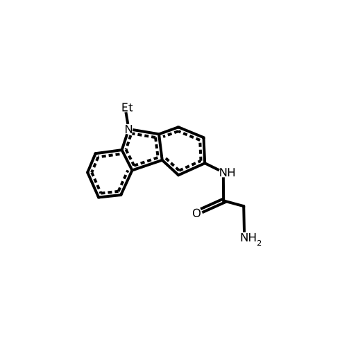 CCn1c2ccccc2c2cc(NC(=O)CN)ccc21